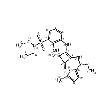 CC[C@@H](Nc1c(Nc2cccc(S(=O)(=O)N(CC)OC)c2O)c(=O)c1=O)c1ccc(C)o1